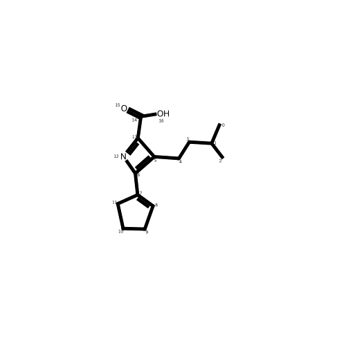 CC(C)CCC1=C(C2=CCCC2)N=C1C(=O)O